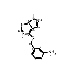 Nc1cccc(CSc2ncnc3[nH]ncc23)c1